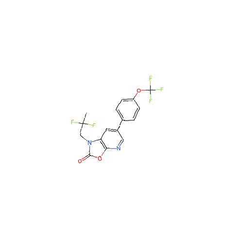 CC(F)(F)Cn1c(=O)oc2ncc(-c3ccc(OC(F)(F)F)cc3)cc21